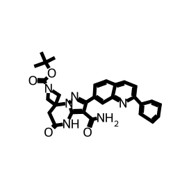 CC(C)(C)OC(=O)N1CC2(CC(=O)Nc3c(C(N)=O)c(-c4ccc5ccc(-c6ccccc6)nc5c4)nn32)C1